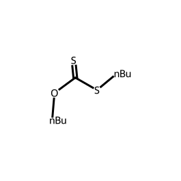 CCCCOC(=S)SCCCC